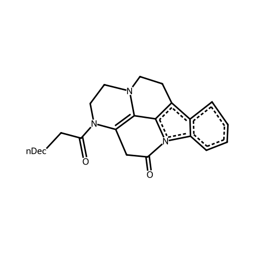 CCCCCCCCCCCC(=O)N1CCN2CCc3c4n(c5ccccc35)C(=O)CC1=C42